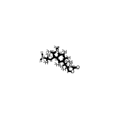 [2H]c1c(C([2H])([2H])[C@@]2([2H])COC(=O)N2[2H])c([2H])c2c(CC([2H])([2H])N(C)C)c([2H])n([2H])c2c1[2H]